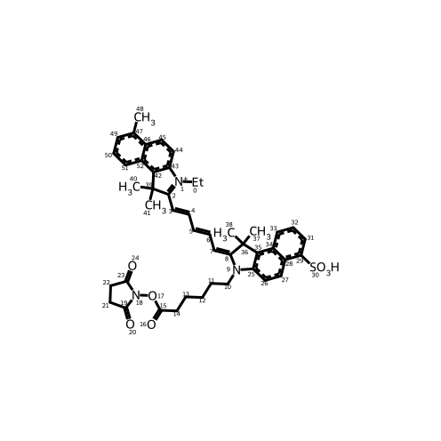 CC[N+]1=C(/C=C/C=C/C=C2/N(CCCCCC(=O)ON3C(=O)CCC3=O)c3ccc4c(S(=O)(=O)O)cccc4c3C2(C)C)C(C)(C)c2c1ccc1c(C)cccc21